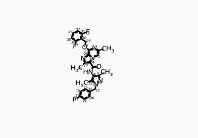 Cc1cn2c(C(=O)Nc3c(C)nn(Cc4ccc(F)cc4)c3C)c(C)nc2c(OCc2c(F)cccc2F)n1